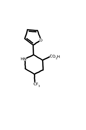 O=C(O)C1CC(C(F)(F)F)CNC1c1ccco1